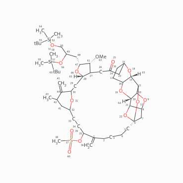 C=C1CCCC[C@@]23CC4OC5C(O2)[C@H]2OC(CCC2O[C@H]5C4O3)CC(=O)CC2[C@H](CC3OC(CCC1OS(C)(=O)=O)CC(C)C3=C)O[C@H](CC(CO[Si](C)(C)C(C)(C)C)O[Si](C)(C)C(C)(C)C)[C@@H]2OC